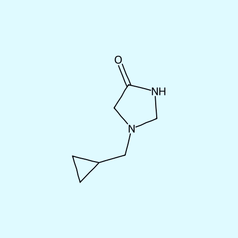 O=C1CN(CC2CC2)CN1